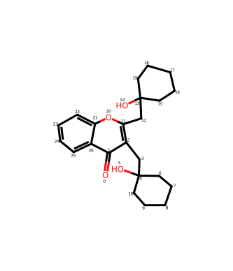 O=c1c(CC2(O)CCCCC2)c(CC2(O)CCCCC2)oc2ccccc12